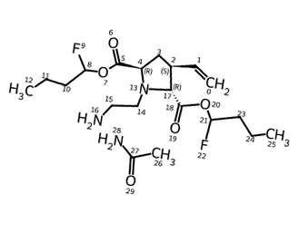 C=C[C@@H]1C[C@H](C(=O)OC(F)CCC)N(CCN)[C@H]1C(=O)OC(F)CCC.CC(N)=O